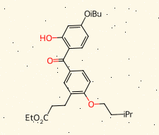 CCOC(=O)CCc1cc(C(=O)c2ccc(OCC(C)C)cc2O)ccc1OCCC(C)C